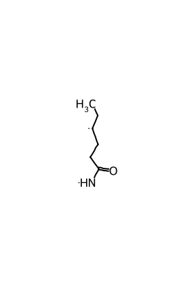 CC[CH]CCC([NH])=O